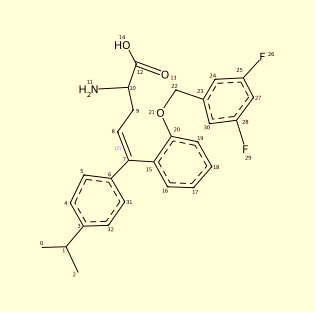 CC(C)c1ccc(/C(=C/CC(N)C(=O)O)c2ccccc2OCc2cc(F)cc(F)c2)cc1